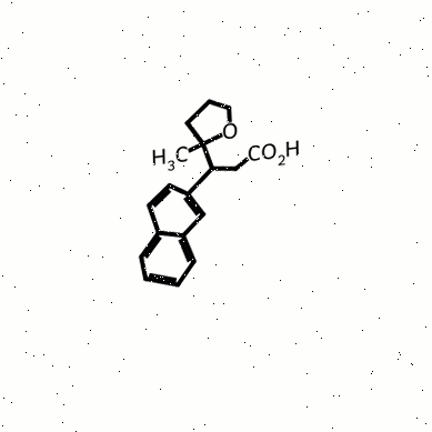 CC1(C(CC(=O)O)c2ccc3ccccc3c2)CCCO1